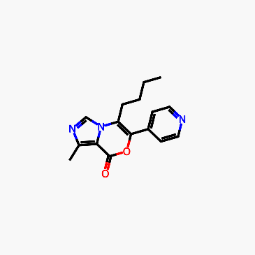 CCCCc1c(-c2ccncc2)oc(=O)c2c(C)ncn12